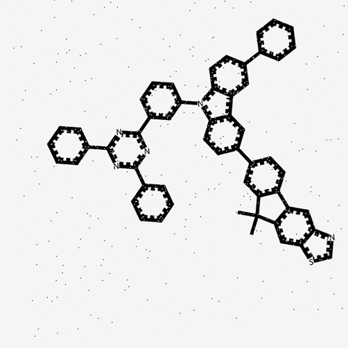 CC1(C)c2cc(-c3ccc4c(c3)c3cc(-c5ccccc5)ccc3n4-c3cccc(-c4nc(-c5ccccc5)nc(-c5ccccc5)n4)c3)ccc2-c2cc3ncsc3cc21